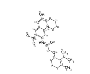 CC(C)C1C(C)CCCC1OCC(=O)Nc1cc(N2CCCCC2C(=O)O)ccc1[N+](=O)[O-]